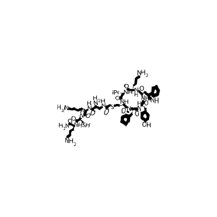 CC(C)[C@@H]1NC(=O)[C@H](CCCCN)NC(=O)[C@@H](Cc2c[nH]c3ccccc23)NC(=O)[C@H](Cc2ccc(O)cc2)NC(=O)[C@H](Cc2ccccc2)N(C)C(=O)[C@H](CCSCC(=O)NC[C@H](N)C(=O)N[C@@H](CCCCN)C(=O)N[C@@H](CS)C(=O)N[C@@H](CCCCN)C(N)=O)NC1=O